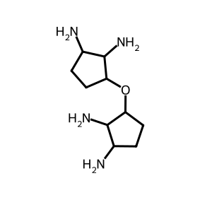 NC1CCC(OC2CCC(N)C2N)C1N